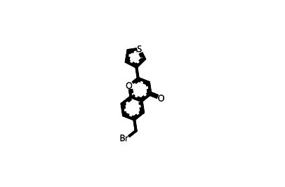 O=c1cc(-c2ccsc2)oc2ccc(CBr)cc12